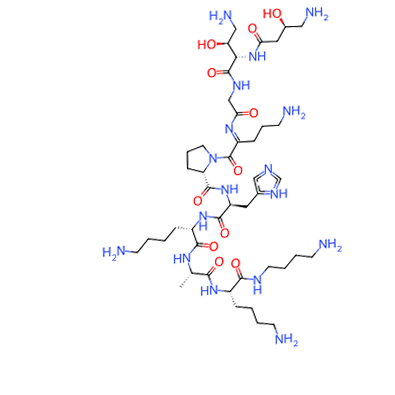 C[C@H](NC(=O)[C@H](CCCCN)NC(=O)[C@H](Cc1cnc[nH]1)NC(=O)[C@@H]1CCCN1C(=O)/C(CCCN)=N/C(=O)CNC(=O)[C@@H](NC(=O)C[C@@H](O)CN)[C@@H](O)CN)C(=O)N[C@@H](CCCCN)C(=O)NCCCCN